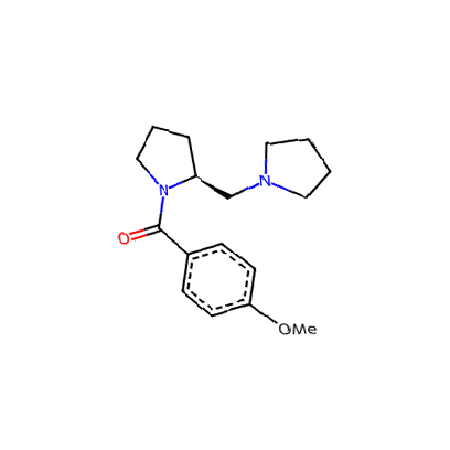 COc1ccc(C(=O)N2CCC[C@H]2CN2CCCC2)cc1